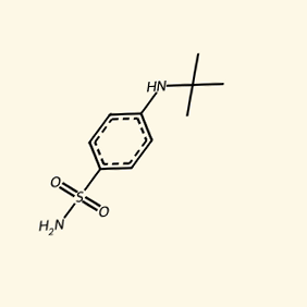 CC(C)(C)Nc1ccc(S(N)(=O)=O)cc1